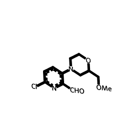 COCC1CN(c2ccc(Cl)nc2C=O)CCO1